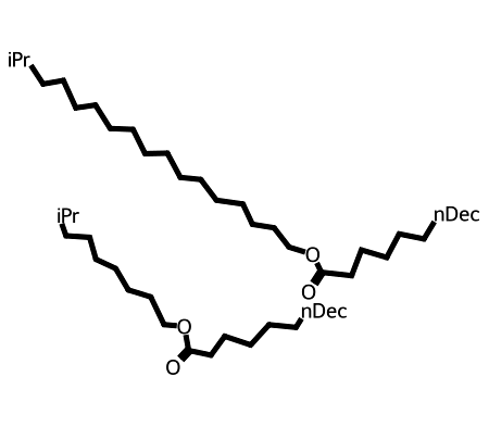 CCCCCCCCCCCCCCCC(=O)OCCCCCCCC(C)C.CCCCCCCCCCCCCCCC(=O)OCCCCCCCCCCCCCCCC(C)C